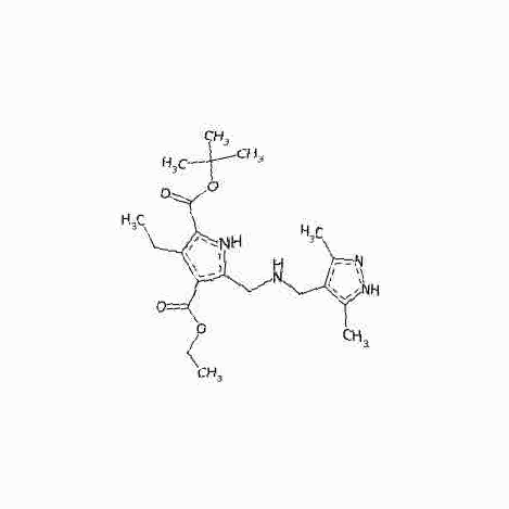 CCOC(=O)c1c(CNCc2c(C)n[nH]c2C)[nH]c(C(=O)OC(C)(C)C)c1CC